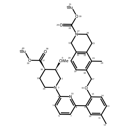 CO[C@H]1CN(c2cccc(-c3cc(C)ccc3OCc3ccc4c(c3C)CCN(C(=O)OC(C)(C)C)C4)n2)CC[C@H]1C(=O)OC(C)(C)C